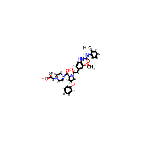 COc1cc(CC(=O)N2CC(Oc3ccccc3)C[C@H]2C(=O)N2CCN(CC(=O)O)CC2)ccc1NC(=O)Nc1ccccc1C